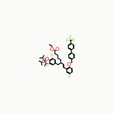 CCOC(=O)CCCCC(/C=C/c1cc(F)ccc1OCc1ccc(-c2ccc(C(F)(F)F)cc2)cc1)Cc1cc(F)c(O[Si](C(C)C)(C(C)C)C(C)C)c(F)c1